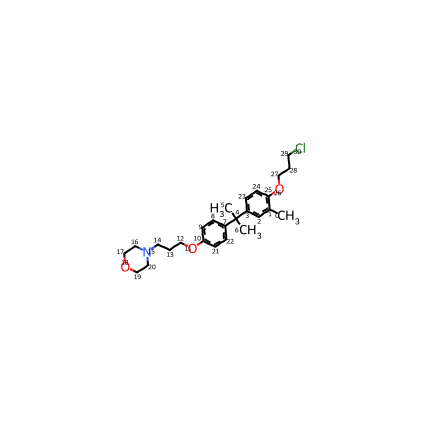 Cc1cc(C(C)(C)c2ccc(OCCCN3CCOCC3)cc2)ccc1OCCCCl